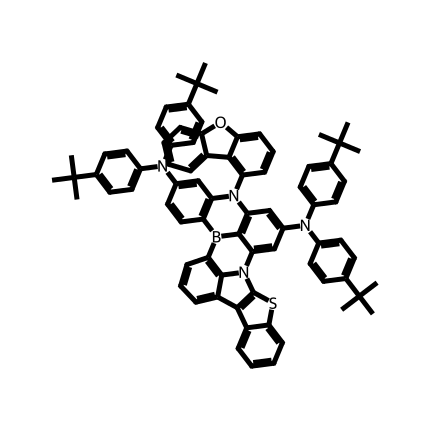 CC(C)(C)c1ccc(N(c2ccc(C(C)(C)C)cc2)c2ccc3c(c2)N(c2cccc4oc5ccccc5c24)c2cc(N(c4ccc(C(C)(C)C)cc4)c4ccc(C(C)(C)C)cc4)cc4c2B3c2cccc3c5c6ccccc6sc5n-4c23)cc1